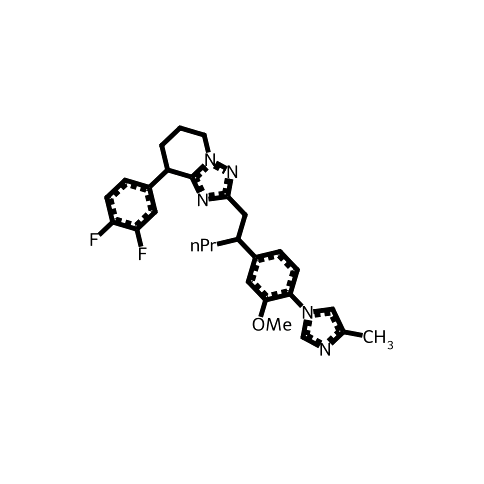 CCCC(Cc1nc2n(n1)CCCC2c1ccc(F)c(F)c1)c1ccc(-n2cnc(C)c2)c(OC)c1